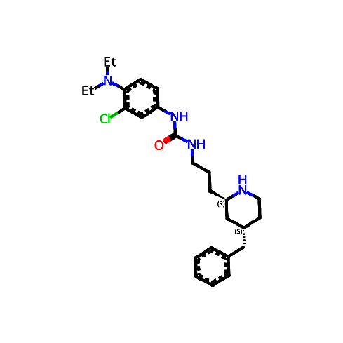 CCN(CC)c1ccc(NC(=O)NCCC[C@@H]2C[C@@H](Cc3ccccc3)CCN2)cc1Cl